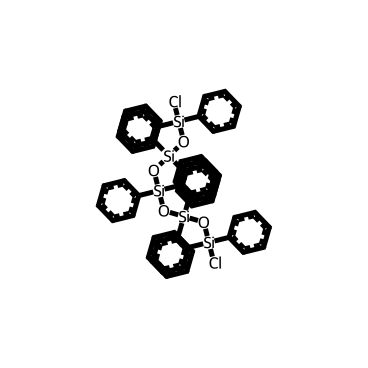 Cl[Si](O[Si](O[Si](O[Si](O[Si](Cl)(c1ccccc1)c1ccccc1)(c1ccccc1)c1ccccc1)(c1ccccc1)c1ccccc1)(c1ccccc1)c1ccccc1)(c1ccccc1)c1ccccc1